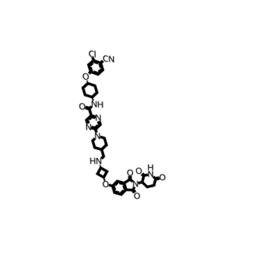 N#Cc1ccc(O[C@H]2CC[C@H](NC(=O)c3cnc(N4CCC(CN[C@H]5C[C@H](Oc6ccc7c(c6)C(=O)N(C6CCC(=O)NC6=O)C7=O)C5)CC4)cn3)CC2)cc1Cl